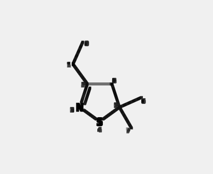 CCC1=NSC(C)(C)C1